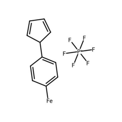 F[P-](F)(F)(F)(F)F.[Fe][c]1ccc(C2C=CC=C2)cc1